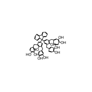 OC1=C(O)C=C(Cc2cc(C3(c4cc(Cc5ccc(O)c(O)c5)c(O)c(Cc5ccc(O)c(O)c5)c4)c4ccccc4-c4ccccc43)cc(Cc3ccc(O)c(O)c3)c2O)CC=C1